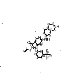 C=CCn1c(=O)c2cnc(Nc3ccc4c(c3)CNCC4)nc2n1-c1cccc(C(C)(F)F)n1